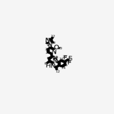 COc1nc(-c2cc(C)c(NC(C)c3ccc(C(F)(F)F)cc3)nn2)ccc1-n1cnc(C)c1